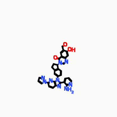 Nc1ncccc1-c1nc2ccc(-n3cccn3)nc2n1-c1ccc2c(c1)CC[C@@H]2n1cnc2cc(O)c(C=O)cc2c1=O